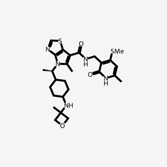 CSc1cc(C)[nH]c(=O)c1CNC(=O)c1c(C)n([C@H](C)C2CCC(NC3(C)COC3)CC2)c2ncsc12